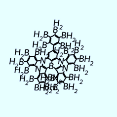 Bc1c(B)c(B)c(-c2cc3c4c(c2)-n2c5c(B)c(B)c(B)c(B)c5n5c6c(B)c(B)c(B)c(B)c6c(c25)B4c2c4c(B)c(B)c(B)c(B)c4n4c5c(B)c(B)c(B)c(B)c5n-3c24)c(B)c1B